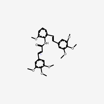 COc1cccc(C=Cc2cc(OC)c(OC)c(OC)c2)c1NC(=O)/C=C/c1cc(OC)c(OC)c(OC)c1